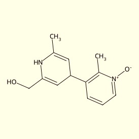 CC1=CC(c2ccc[n+]([O-])c2C)C=C(CO)N1